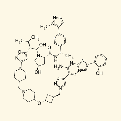 CC(C)[C@H](c1cc(N2CCC(CN3CCC(O[C@H]4C[C@H](Cn5cc(-c6cn7cc(-c8ccccc8O)nc7nc6N)cn5)C4)CC3)CC2)no1)C(O)N1C[C@H](O)C[C@H]1C(=O)N[C@@H](C)c1ccc(-c2ccnn2C)cc1